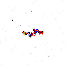 c1cc(-c2ccc3oc4ccccc4c3c2)cc(-n2c3ccccc3c3cc(Oc4ccc5c(c4)c4ccccc4n5-c4cccc(-c5ccc6sc7ccccc7c6c5)c4)ccc32)c1